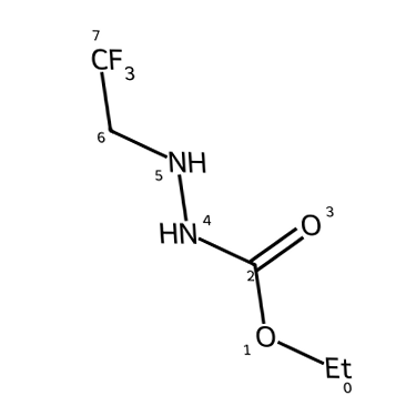 CCOC(=O)NNCC(F)(F)F